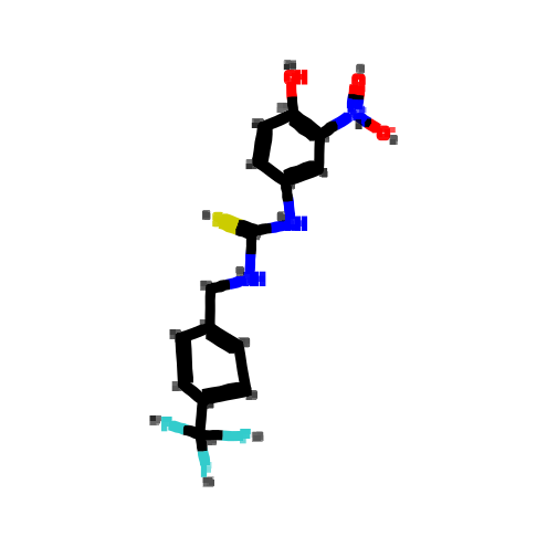 O=[N+]([O-])c1cc(NC(=S)NCc2ccc(C(F)(F)F)cc2)ccc1O